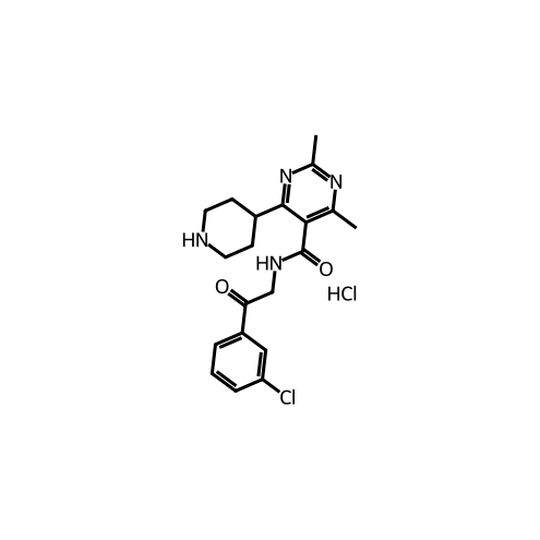 Cc1nc(C)c(C(=O)NCC(=O)c2cccc(Cl)c2)c(C2CCNCC2)n1.Cl